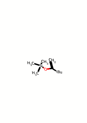 C=C(O[Si](C)(C)C)C(C)(C)C